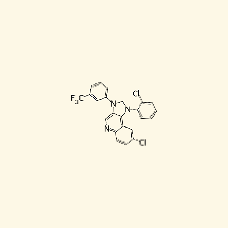 FC(F)(F)c1cccc(N2CN(c3ccccc3Cl)c3c2cnc2ccc(Cl)cc32)c1